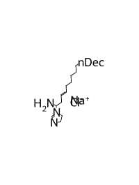 CCCCCCCCCCCCCCCC=CCC(N)N1C=NCC1.[Cl-].[Na+]